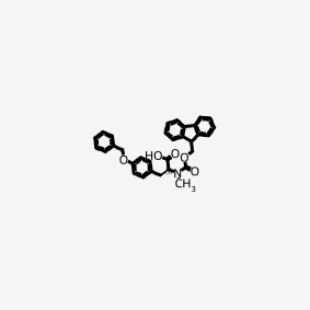 CN(C(=O)OCC1c2ccccc2-c2ccccc21)[C@@H](Cc1ccc(OCc2ccccc2)cc1)C(=O)O